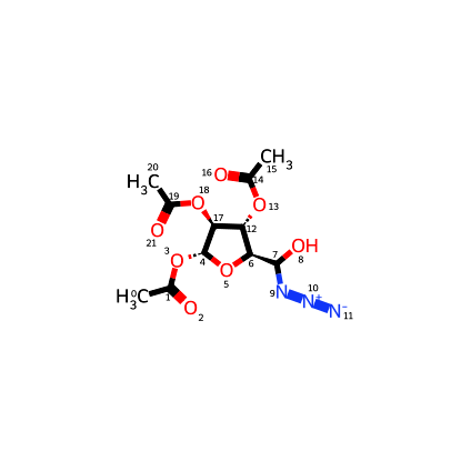 CC(=O)O[C@H]1O[C@H](C(O)N=[N+]=[N-])[C@@H](OC(C)=O)[C@@H]1OC(C)=O